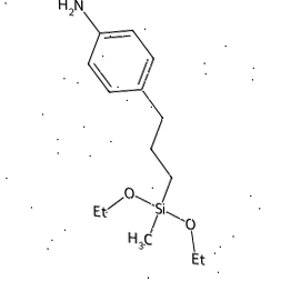 CCO[Si](C)(CCCc1ccc(N)cc1)OCC